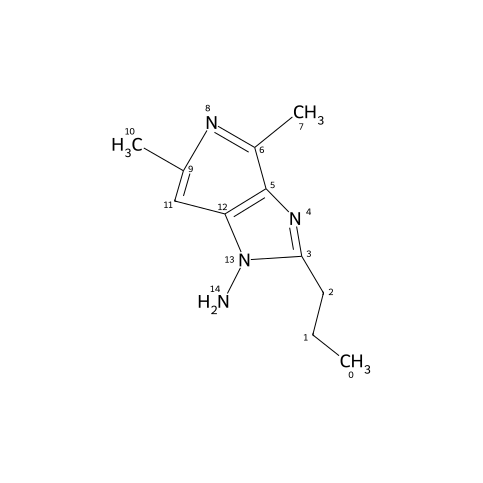 CCCc1nc2c(C)nc(C)cc2n1N